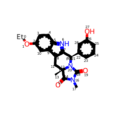 CCOc1ccc2[nH]c3c(c2c1)C[C@@]1(C)C(=O)N(C)C(=O)N1[C@@H]3c1cccc(O)c1